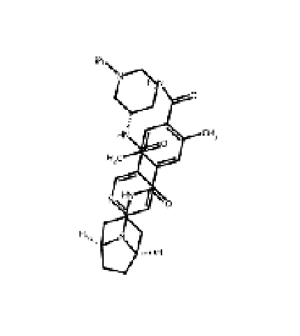 Cc1cc(C(=O)N[C@H]2C[C@H]3CC[C@@H](C2)N3c2ccc(C(=O)N[C@H]3CCCN(C(C)C)C3)cn2)c(C)cc1C(N)=O